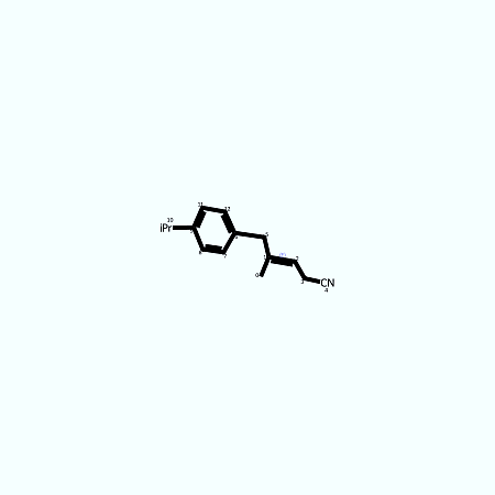 C/C(=C\CC#N)Cc1ccc(C(C)C)cc1